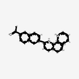 CC(=O)c1ccc2cc(-c3ccc4ccc5cccnc5c4n3)ccc2c1